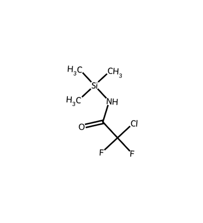 C[Si](C)(C)NC(=O)C(F)(F)Cl